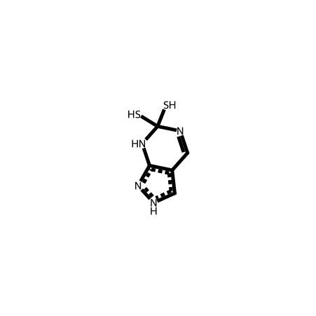 SC1(S)N=Cc2c[nH]nc2N1